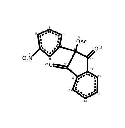 CC(=O)OC1(c2[c]ccc([N+](=O)[O-])c2)C(=O)c2ccccc2C1=O